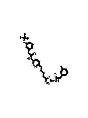 Cc1cccc(CC(=O)Nc2nnc(CCCCc3ccc(NC(=O)Cc4cccc(OC(F)(F)F)c4)nn3)s2)c1